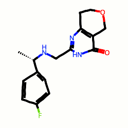 C[C@H](NCc1nc2c(c(=O)[nH]1)COCC2)c1ccc(F)cc1